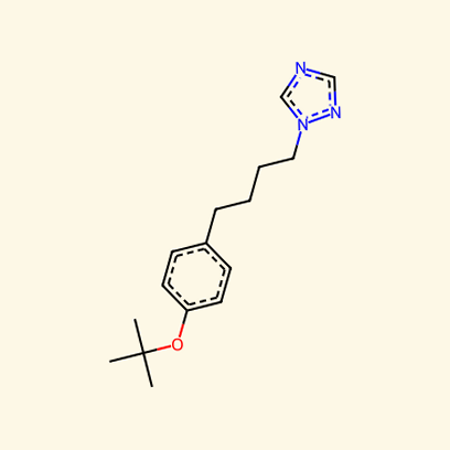 CC(C)(C)Oc1ccc(CCCCn2cncn2)cc1